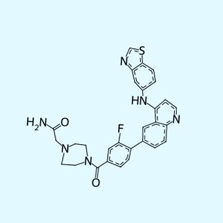 NC(=O)CN1CCN(C(=O)c2ccc(-c3ccc4nccc(Nc5ccc6scnc6c5)c4c3)c(F)c2)CC1